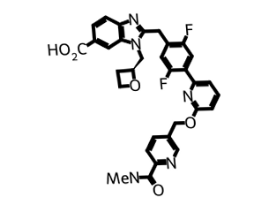 CNC(=O)c1ccc(COc2cccc(-c3cc(F)c(Cc4nc5ccc(C(=O)O)cc5n4C[C@@H]4CCO4)cc3F)n2)cn1